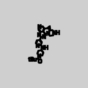 CC(C)(C)C(=O)N1CCC(Nc2cc(-c3nc(N4CCNCC4)c4c(C5CC5)cncc4n3)ccn2)CC1